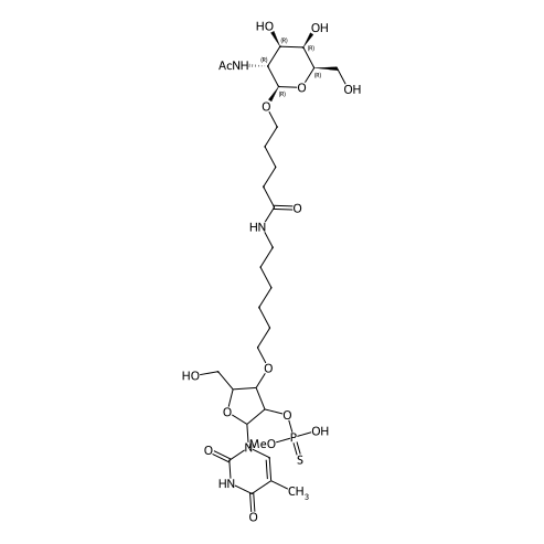 COP(O)(=S)OC1C(OCCCCCCNC(=O)CCCCO[C@@H]2O[C@H](CO)[C@H](O)[C@H](O)[C@H]2NC(C)=O)C(CO)OC1n1cc(C)c(=O)[nH]c1=O